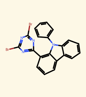 Brc1nc(Br)nc(-c2cccc3c4ccccc4n(-c4ccccc4)c23)n1